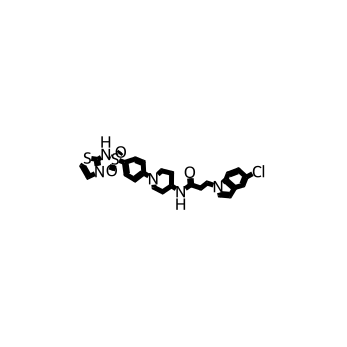 O=C(CCn1ccc2cc(Cl)ccc21)NC1CCN(c2ccc(S(=O)(=O)Nc3nccs3)cc2)CC1